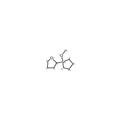 CO[Si]1(C2CCCO2)CCCC1